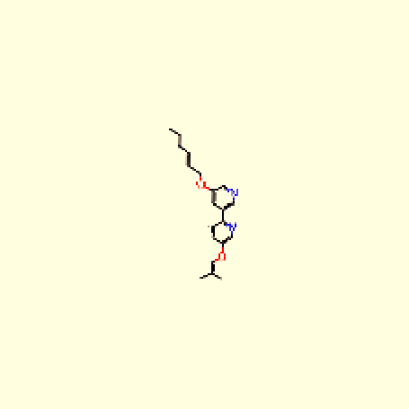 CCCC=CCOc1cncc(-c2[c]cc(OC=C(C)C)cn2)c1